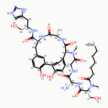 CCCCCCCCCCCCCCCC(=O)N(C)[C@H](CO)C(=O)N[C@H](N)C(=O)NCC(=O)N(C)[C@@H]1C(=O)N[C@@H](C)C(=O)N[C@H](C(=O)N[C@H](CO)Cc2cnc[nH]2)Cc2ccc(O)c(c2)-c2cc1ccc2O